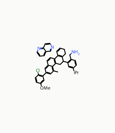 COc1ccc(Cl)c(-c2cc(C)c3c4c(ccc3c2)C2=C(CCC=C2)C(c2cc(C(C)C)ccc2CN)C4)c1.c1cnc2ccncc2c1